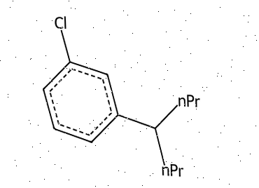 CCCC(CCC)c1cccc(Cl)c1